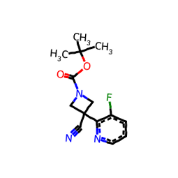 CC(C)(C)OC(=O)N1CC(C#N)(c2ncccc2F)C1